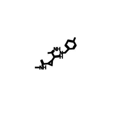 C=C(NC)C1CC1/C(=C/NCc1ccc(C)cc1)C(C)=N